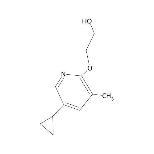 Cc1cc(C2CC2)cnc1OCCO